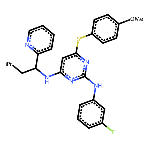 COc1ccc(Sc2cc(NC(CC(C)C)c3ccccn3)nc(Nc3cccc(F)c3)n2)cc1